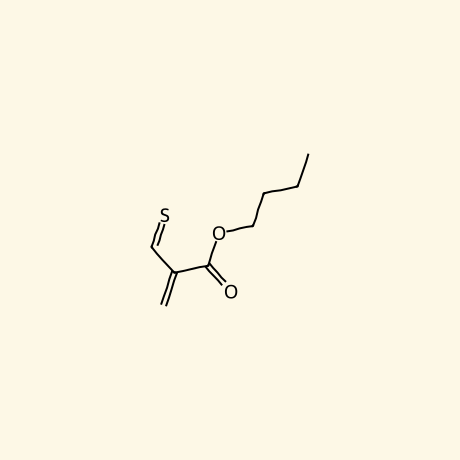 C=C(C=S)C(=O)OCCCC